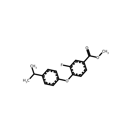 COC(=O)c1ccc(Oc2ccc(C(C)C)cc2)c(F)c1